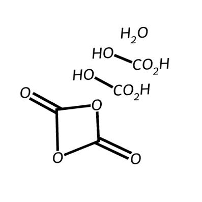 O.O=C(O)O.O=C(O)O.O=C1OC(=O)O1